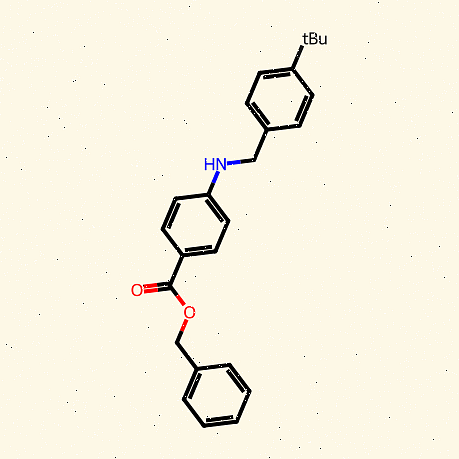 CC(C)(C)c1ccc(CNc2ccc(C(=O)OCc3ccccc3)cc2)cc1